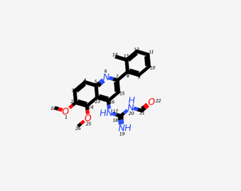 COc1ccc2nc(-c3ccccc3C)cc(NC(=N)NC=O)c2c1OC